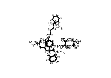 CN(C)CCCC1(c2ccc(OCCCNC3(C)CCCCC3)cc2)Sc2ccccc2N(C)C1=O.O.O=C(O)C(=O)O.O=C(O)C(=O)O